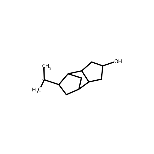 C[C](C)C1CC2CC1C1CC(O)CC21